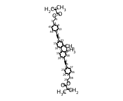 C=C(C)C(=O)OCCc1ccc(C#Cc2ccc(-c3ccc(C#Cc4ccc(CCOC(=O)C(=C)C)cc4)cc3C)c(C)c2)cc1